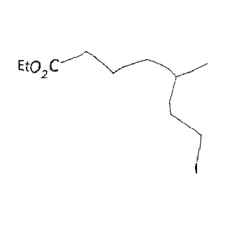 CCOC(=O)CCCC(C)CCI